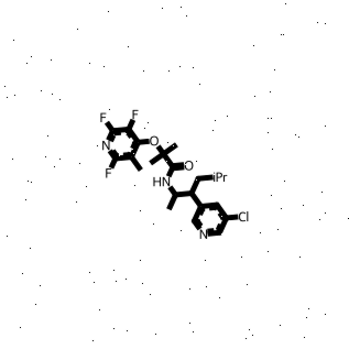 Cc1c(F)nc(F)c(F)c1OC(C)(C)C(=O)NC(C)C(CC(C)C)c1cncc(Cl)c1